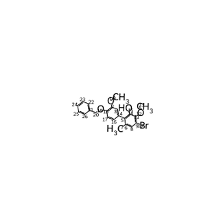 COc1cc(-c2c(C)cc(Br)c(OC)c2O)ccc1OCc1ccccc1